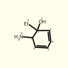 CCC1(O)C=CC=CC1N